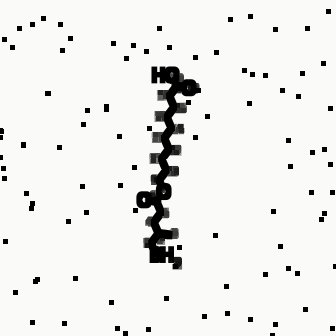 BCC(=C)CCC(=O)OCCCCCCCCCC(=O)O